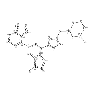 C[C@@H]1CN(Cc2nnc(-c3cc(-c4cccc5[nH]ccc45)cc4c3cnn4C)o2)CCO1